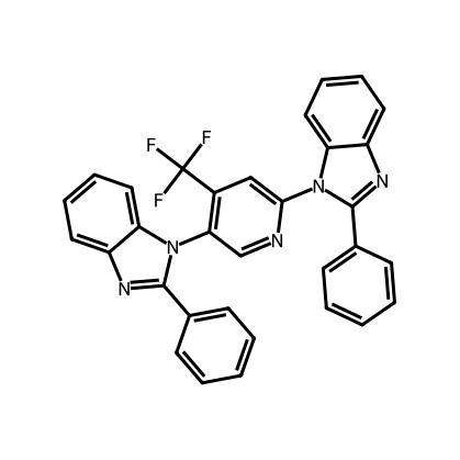 FC(F)(F)c1cc(-n2c(-c3ccccc3)nc3ccccc32)ncc1-n1c(-c2ccccc2)nc2ccccc21